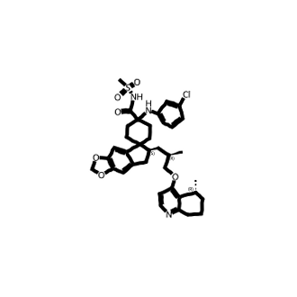 C[C@@H](COc1ccnc2c1[C@H](C)CCC2)C[C@H]1Cc2cc3c(cc2C12CCC(Nc1cccc(Cl)c1)(C(=O)NS(C)(=O)=O)CC2)OCO3